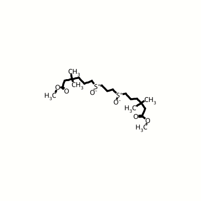 COC(=O)CC(C)(C)CCC[S+]([O-])CCC[S+]([O-])CCCC(C)(C)CC(=O)OC